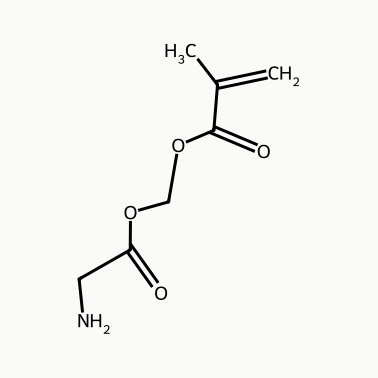 C=C(C)C(=O)OCOC(=O)CN